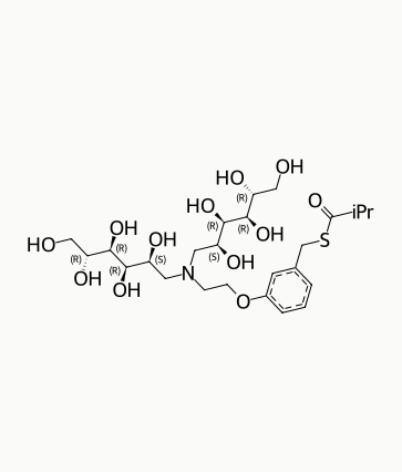 CC(C)C(=O)SCc1cccc(OCCN(C[C@H](O)[C@@H](O)[C@H](O)[C@H](O)CO)C[C@H](O)[C@@H](O)[C@H](O)[C@H](O)CO)c1